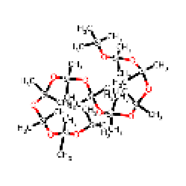 C[SiH](C)O[Si](C)(C)O[Si](C)(C)O[Si](C)(C)O[Si](C)(C)O[Si](C)(C)O[Si](C)(C)O[Si](C)(C)O[Si](C)(C)O[Si](C)(C)O[Si](C)(C)C